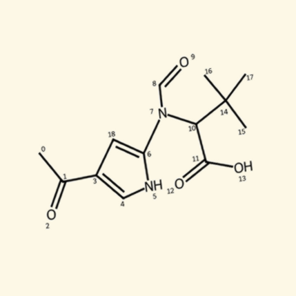 CC(=O)c1c[nH]c(N(C=O)C(C(=O)O)C(C)(C)C)c1